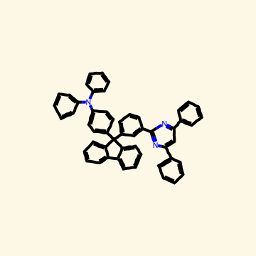 c1ccc(-c2cc(-c3ccccc3)nc(-c3cccc(C4(c5ccc(N(c6ccccc6)c6ccccc6)cc5)c5ccccc5-c5ccccc54)c3)n2)cc1